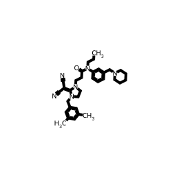 CCCN(C(=O)CCN1CCN(Cc2cc(C)cc(C)c2)C1=C(C#N)C#N)c1cccc(CN2CCCCC2)c1